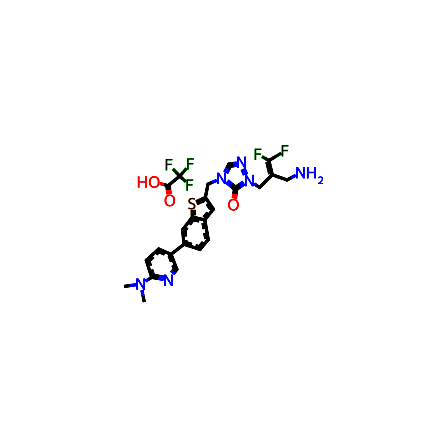 CN(C)c1ccc(-c2ccc3cc(Cn4cnn(CC(CN)=C(F)F)c4=O)sc3c2)cn1.O=C(O)C(F)(F)F